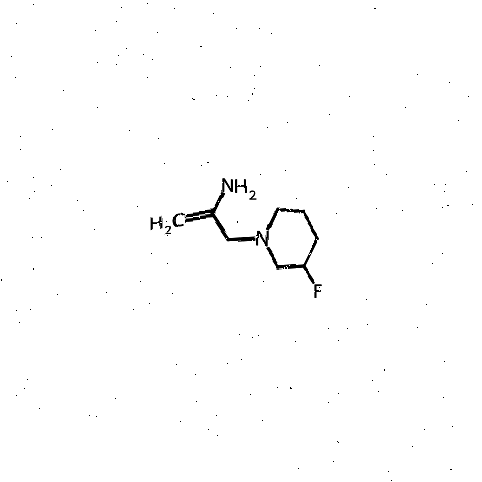 C=C(N)CN1CCCC(F)C1